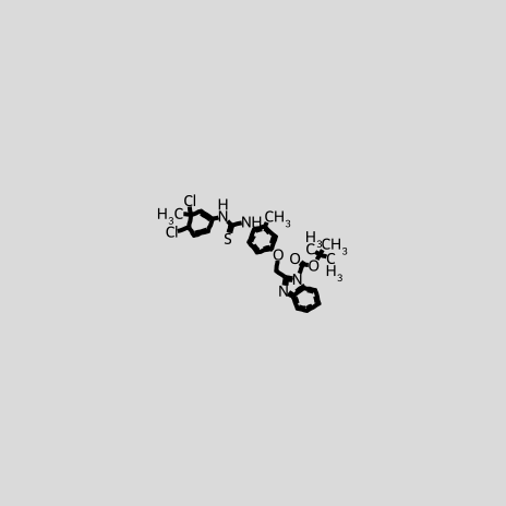 Cc1cc(OCc2nc3ccccc3n2C(=O)OC(C)(C)C)ccc1NC(=S)NC1=CC(C)(Cl)C(Cl)C=C1